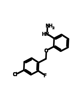 NNc1ccccc1OCc1ccc(Cl)cc1F